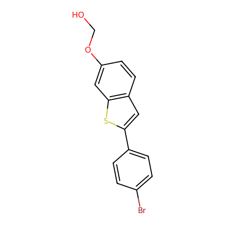 OCOc1ccc2cc(-c3ccc(Br)cc3)sc2c1